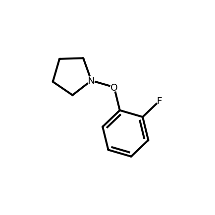 Fc1ccccc1ON1CCCC1